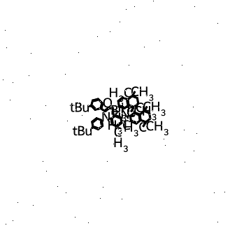 Cc1cc2c3c(c1)N(c1ccc(C(C)(C)C)cc1)c1c(oc4ccc(C(C)(C)C)cc14)B3c1ccc3c(c1N2c1cc2c(cc1C)C(C)(C)CCC2(C)C)C(C)(C)CCC3(C)C